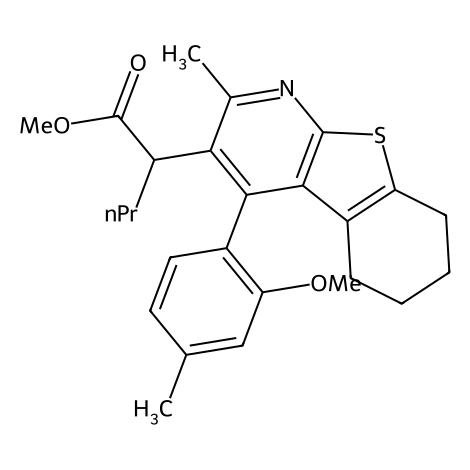 CCCC(C(=O)OC)c1c(C)nc2sc3c(c2c1-c1ccc(C)cc1OC)CCCC3